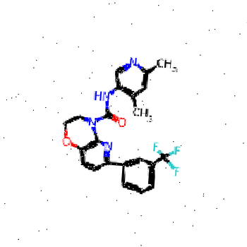 Cc1cc(C)c(NC(=O)N2CCOc3ccc(-c4cccc(C(F)(F)F)c4)nc32)cn1